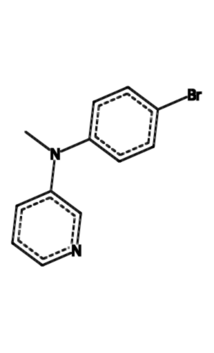 CN(c1ccc(Br)cc1)c1cccnc1